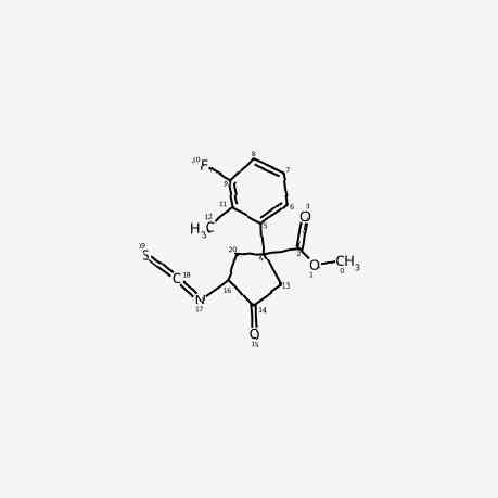 COC(=O)C1(c2cccc(F)c2C)CC(=O)C(N=C=S)C1